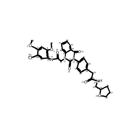 COc1cc(OC)c(NC(=O)Cn2c(=O)n(-c3ccc(CC(=O)NCC4CCCO4)cc3)c(=O)c3ccccc32)cc1Cl